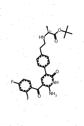 C[C@H](NCCc1ccc(-c2cc(C(=O)c3ccc(F)cc3F)c(N)[nH]c2=O)cc1)C(=O)OC(C)(C)C